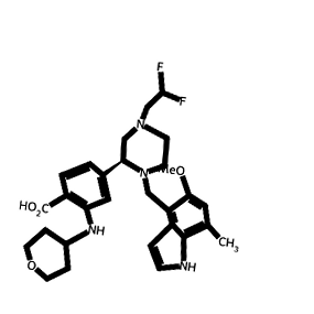 COc1cc(C)c2[nH]ccc2c1CN1CCN(CC(F)F)C[C@@H]1c1ccc(C(=O)O)c(NC2CCOCC2)c1